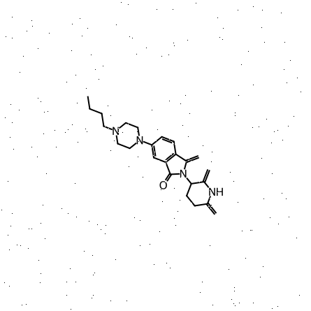 C=C1CCC(N2C(=C)c3ccc(N4CCN(CCCC)CC4)cc3C2=O)C(=C)N1